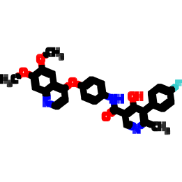 COc1cc2nccc(Oc3ccc(NC(=O)c4cnc(C)c(-c5ccc(F)cc5)c4O)cc3)c2cc1OC